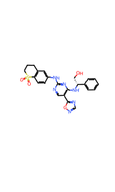 O=S1(=O)CCCc2cc(Nc3ncc(-c4ncno4)c(N[C@H](CO)c4ccccc4)n3)ccc21